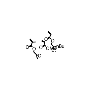 C=C(C)C(=O)OCC1CO1.C=CC(=O)OC.C=CC(=O)OCC(CC)CCCC